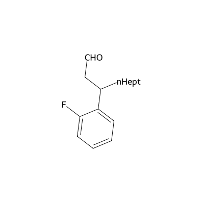 CCCCCCCC(CC=O)c1ccccc1F